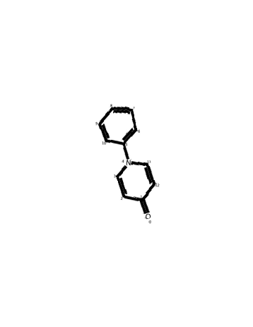 O=c1ccn(-c2ccccc2)cc1